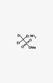 CCC(CC)(CC)S(=O)(=O)OC.N